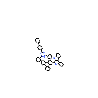 c1ccc(-c2ccc(-c3nc(-c4ccccc4)nc(-c4ccc(-n5c6ccccc6c6c7ccccc7nc(-c7ccc8c9ccccc9c9ccccc9c8c7)c65)cc4)n3)cc2)cc1